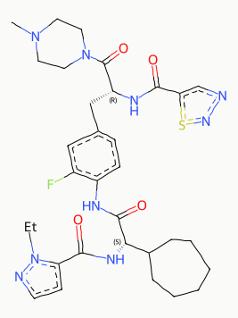 CCn1nccc1C(=O)N[C@H](C(=O)Nc1ccc(C[C@@H](NC(=O)c2cnns2)C(=O)N2CCN(C)CC2)cc1F)C1CCCCCC1